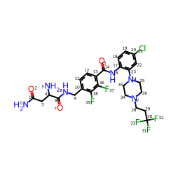 NC(=O)CC(N)C(=O)NCc1ccc(C(=O)Nc2ccc(Cl)cc2N2CCN(CCC(F)(F)F)CC2)c(F)c1F